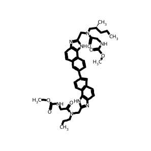 CCC[C@@H](C)CN(Cc1nc2ccc3cc(-c4ccc5c(ccc6nc(CN(CCC)C(=O)CNC(=O)OC)[nH]c65)c4)ccc3c2[nH]1)C(=O)CNC(=O)OC